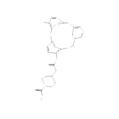 CC(C)(C)OC(=O)N1CCC(CC(=O)Nc2ccc3cc2CCC2C=NC=C(C2)Nc2ncc(Cl)c(n2)N3)CC1